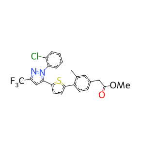 COC(=O)Cc1ccc(-c2ccc(-c3cc(C(F)(F)F)nn3-c3ccccc3Cl)s2)c(C)c1